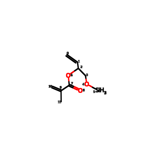 C=CC(CO[SiH3])OC(=O)C(=C)C